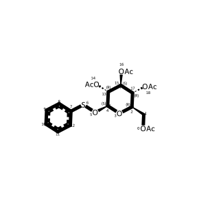 CC(=O)OC[C@H]1O[C@@H](OSc2ccccc2)[C@H](OC(C)=O)[C@@H](OC(C)=O)[C@@H]1OC(C)=O